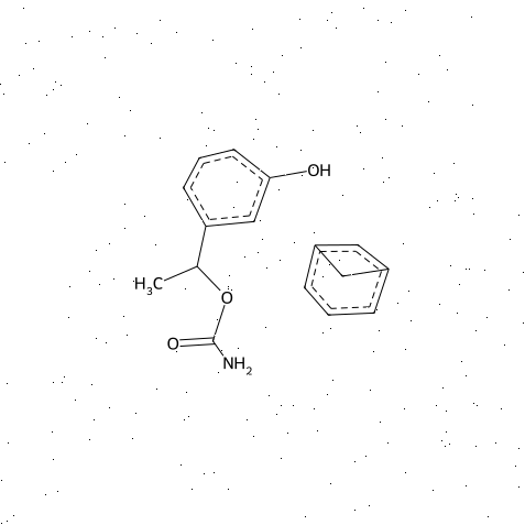 CC(OC(N)=O)c1cccc(O)c1.c1cc2cc(c1)C2